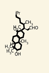 CC(C)CCC[C@@H](C)[C@@H](CC=O)[C@@]1(C)CCC2=C(CC[C@H]3C(C)(C)[C@@H](O)CC[C@]23C)C1=O